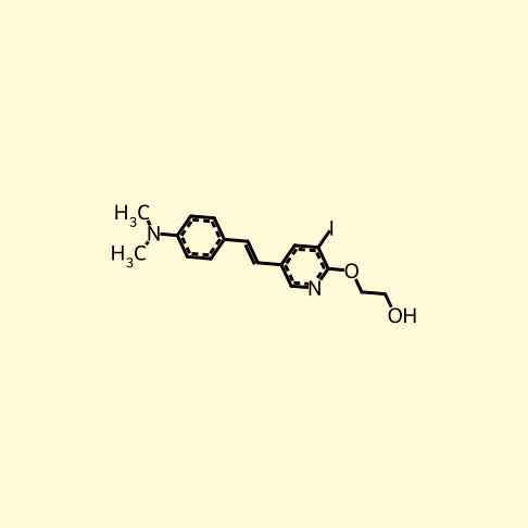 CN(C)c1ccc(C=Cc2cnc(OCCO)c(I)c2)cc1